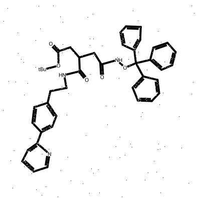 CC(C)(C)OC(=O)CC(CC(=O)NOC(c1ccccc1)(c1ccccc1)c1ccccc1)C(=O)NCCc1ccc(-c2ccccn2)cc1